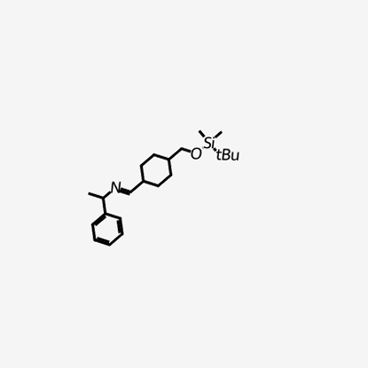 CC(N=CC1CCC(CO[Si](C)(C)C(C)(C)C)CC1)c1ccccc1